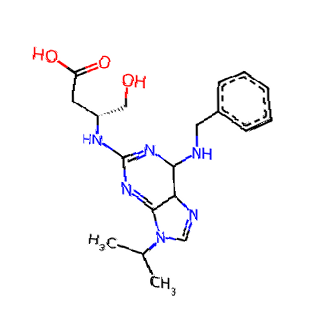 CC(C)N1C=NC2C1=NC(N[C@@H](CO)CC(=O)O)=NC2NCc1ccccc1